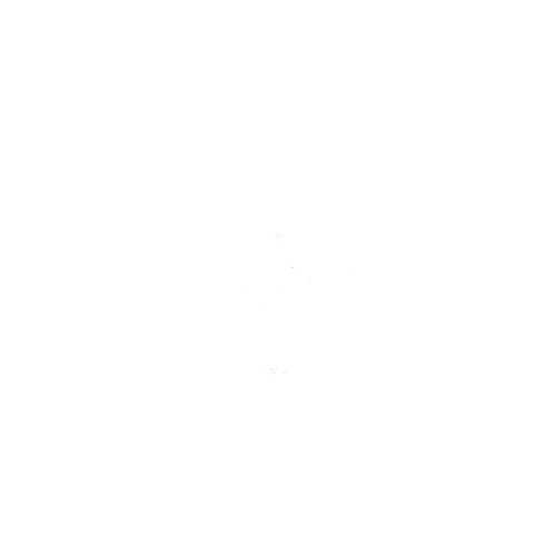 COc1cccc(C2C(C=O)C2(C)C)c1